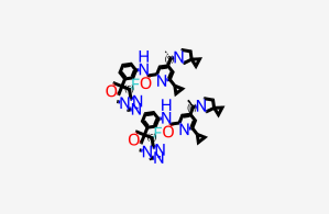 C[C@@H](c1cc(C(=O)Nc2cccc(C3([C@H](F)c4nncn4C)COC3)c2)nc(C2CC2)c1)N1CCC2(CC2)C1.C[C@H](c1cc(C(=O)Nc2cccc(C3([C@H](F)c4nncn4C)COC3)c2)nc(C2CC2)c1)N1CCC2(CC2)C1